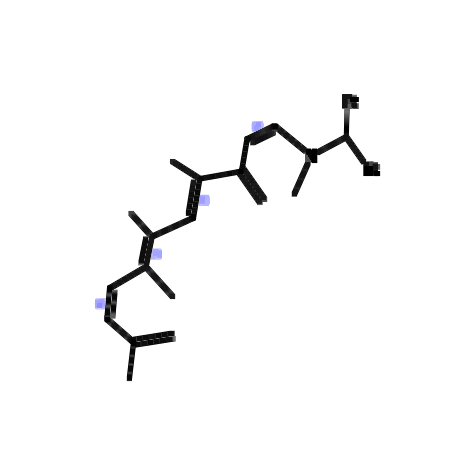 C=C(C)\C=C/C(C)=C(C)/C=C(\C)C(=C)/C=C\N(C)C(CC)CC